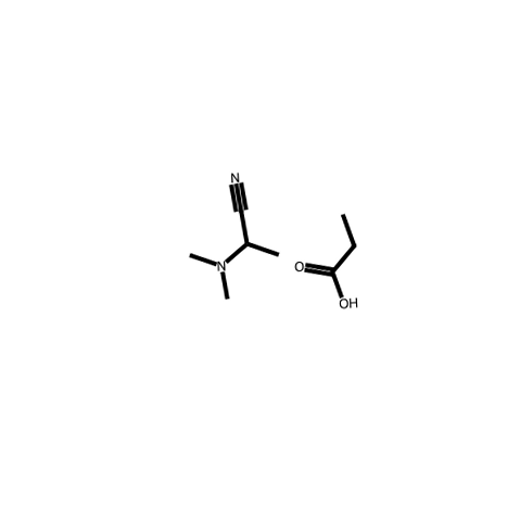 CC(C#N)N(C)C.CCC(=O)O